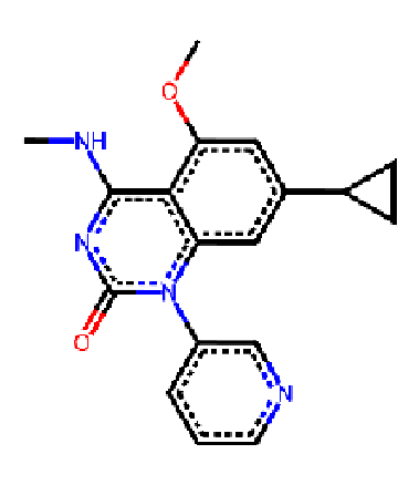 CNc1nc(=O)n(-c2cccnc2)c2cc(C3CC3)cc(OC)c12